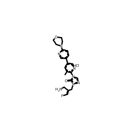 Cc1cc(-c2ccc(N3CCOCC3)nc2)cnc1-n1cnn(C/C(=C/F)CN)c1=O.Cl